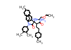 C=COCCNC(C(=O)N(CCc1ccc(C)cc1)c1ccc(C)c(C)c1)(c1ccccc1)C(CCc1ccc(C)cc1)C(N)=O